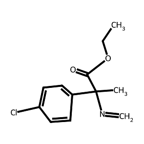 C=NC(C)(C(=O)OCC)c1ccc(Cl)cc1